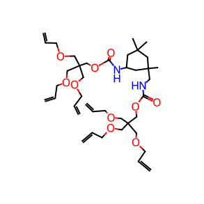 C=CCOCC(COCC=C)(COCC=C)COC(=O)NCC1(C)CC(NC(=O)OCC(COCC=C)(COCC=C)COCC=C)CC(C)(C)C1